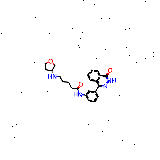 O=C(CCCCN[C@@H]1CCOC1)Nc1cccc(-c2n[nH]c(=O)c3ccccc23)c1